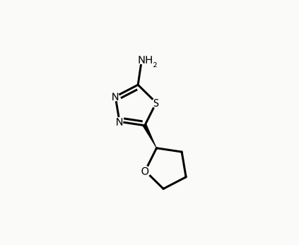 Nc1nnc([C@H]2CCCO2)s1